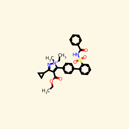 CCOC(=O)C1=C(c2ccc(-c3ccccc3S(=O)(=O)NC(=O)c3ccccc3)cc2)[N+](C)(CC)N=C1C1CC1